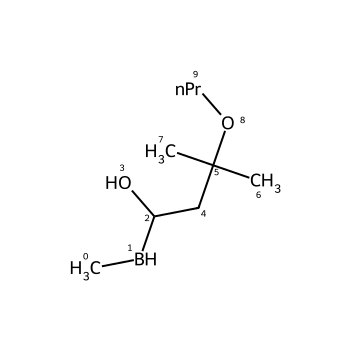 CBC(O)CC(C)(C)OCCC